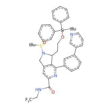 CC(C)(C)[S+]([O-])N1Cc2cc(C(=O)NCC(F)(F)F)nc(-c3cccc(-c4cccnc4)c3)c2C1CCO[Si](c1ccccc1)(c1ccccc1)C(C)(C)C